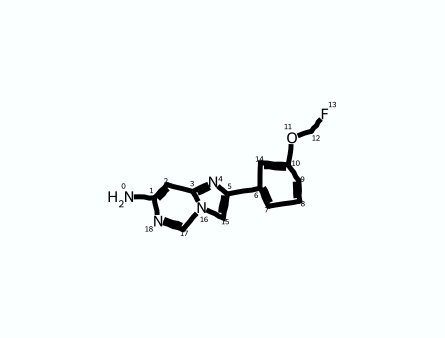 Nc1cc2nc(-c3cccc(OCF)c3)cn2cn1